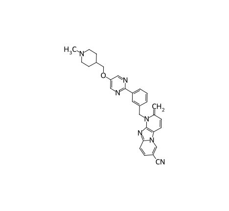 C=C1C=Cc2c(nc3ccc(C#N)cn23)N1Cc1cccc(-c2ncc(OCC3CCN(C)CC3)cn2)c1